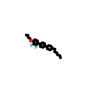 C=CCCOc1ccc(-c2ccc(C3CCC(CCCCCC)CC3)cc2)c(F)c1F